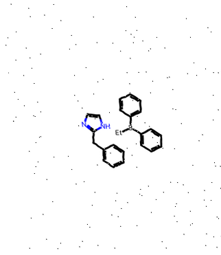 CCB(c1ccccc1)c1ccccc1.c1ccc(Cc2ncc[nH]2)cc1